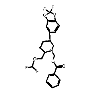 O=C(OCN1CC(c2ccc3c(c2)OC(F)(F)O3)CCC1COC(F)F)c1ccccc1